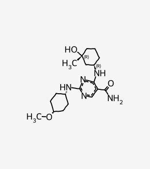 CO[C@H]1CC[C@H](Nc2ncc(C(N)=O)c(N[C@@H]3CCC[C@@](C)(O)C3)n2)CC1